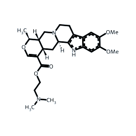 COc1cc2[nH]c3c(c2cc1OC)CCN1C[C@H]2[C@H](C)OC=C(C(=O)OCCN(C)C)[C@H]2C[C@H]31